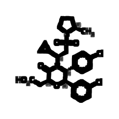 C[C@@H]1CCCN1S(=O)(=O)C[C@H](C1CC1)N1C(=O)[C@H](CC(=O)O)O[C@H](c2cccc(Cl)c2)[C@H]1c1ccc(Cl)cc1